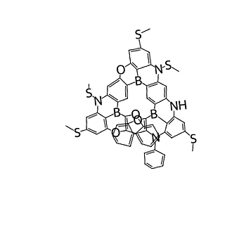 CSc1cc2c3c(c1)N(SC)c1cc4c(cc1B3c1cc3c(cc1O2)N(SC)c1cc(SC)cc2c1B3c1oc3ccccc3c1O2)B1c2oc3ccccc3c2N(c2ccccc2)c2cc(SC)cc(c21)N4